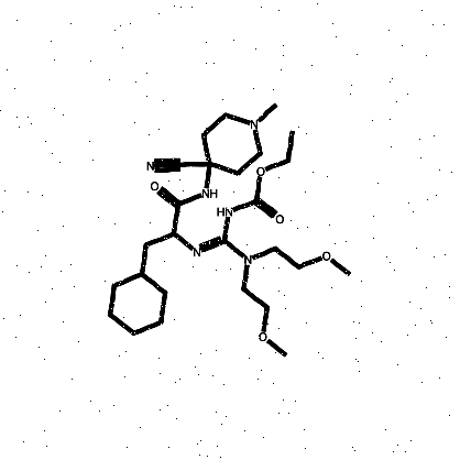 CCOC(=O)N/C(=N\C(CC1CCCCC1)C(=O)NC1(C#N)CCN(C)CC1)N(CCOC)CCOC